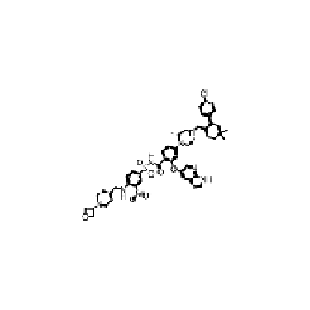 C[C@@H]1CN(CC2=C(c3ccc(Cl)cc3)CC(C)(C)CC2)CCN1c1ccc(C(=O)NS(=O)(=O)c2ccc(NCC3CCN(C4COC4)CC3)c([N+](=O)[O-])c2)c(Oc2cnc3[nH]ccc3c2)c1